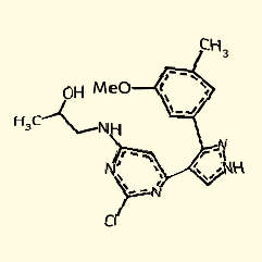 COc1cc(C)cc(-c2n[nH]cc2-c2cc(NCC(C)O)nc(Cl)n2)c1